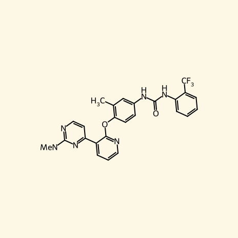 CNc1nccc(-c2cccnc2Oc2ccc(NC(=O)Nc3ccccc3C(F)(F)F)cc2C)n1